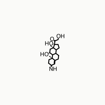 C[C@]12CCC(=N)C=C1CCC1C2[C@@H](O)C[C@@]2(C)C1CC[C@]2(O)C(=O)CO